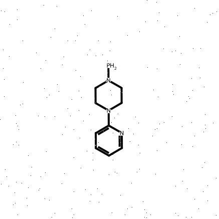 PN1CCN(c2ccccn2)CC1